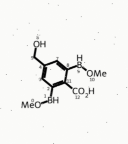 COBc1cc(CO)cc(BOC)c1C(=O)O